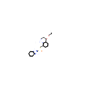 C=CCOC1CCN(CC)c2c(C[S+]([O-])c3nc4ccccc4[nH]3)cccc21